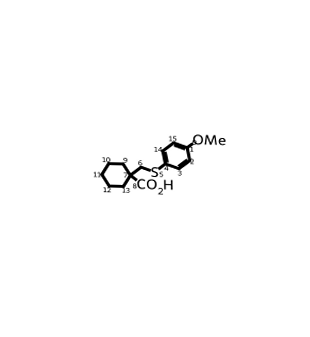 COc1ccc(SCC2(C(=O)O)CCCCC2)cc1